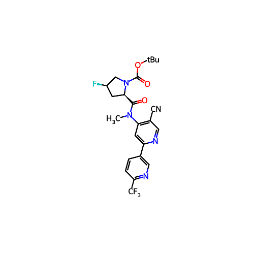 CN(C(=O)[C@H]1C[C@@H](F)CN1C(=O)OC(C)(C)C)c1cc(-c2ccc(C(F)(F)F)nc2)ncc1C#N